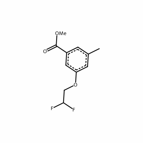 COC(=O)c1cc(C)cc(OCC(F)F)c1